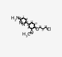 COc1cc(-c2ccc(N)nn2)ccc1OCCCCl